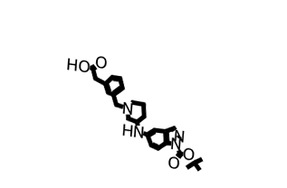 CC(C)(C)OC(=O)n1ncc2cc(NC3CCCN(Cc4cccc(CC(=O)O)c4)C3)ccc21